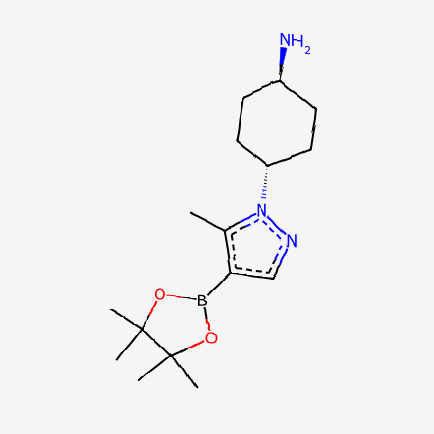 Cc1c(B2OC(C)(C)C(C)(C)O2)cnn1[C@H]1CC[C@H](N)CC1